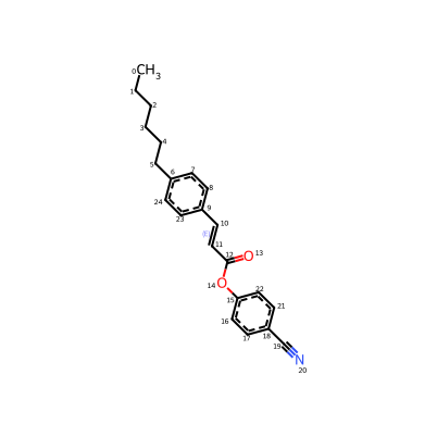 CCCCCCc1ccc(/C=C/C(=O)Oc2ccc(C#N)cc2)cc1